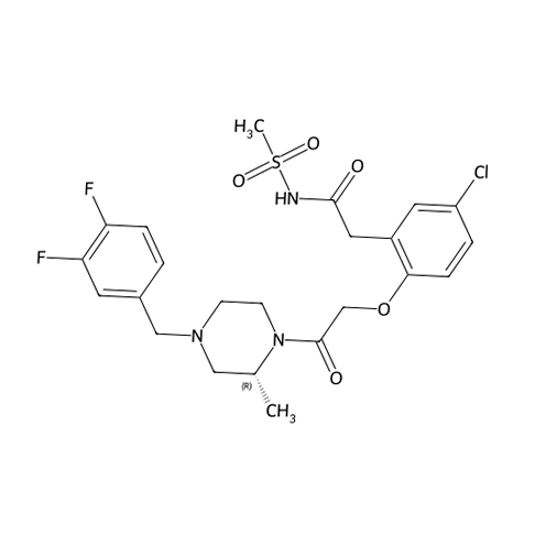 C[C@@H]1CN(Cc2ccc(F)c(F)c2)CCN1C(=O)COc1ccc(Cl)cc1CC(=O)NS(C)(=O)=O